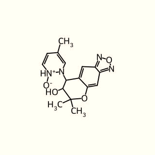 CC1=CN(C2c3cc4nonc4cc3OC(C)(C)C2O)[NH+]([O-])C=C1